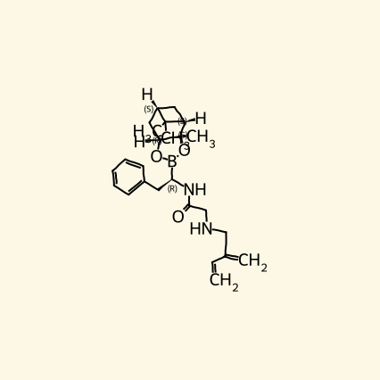 C=CC(=C)CNCC(=O)N[C@@H](Cc1ccccc1)B1O[C@@H]2C[C@@H]3C[C@@H](C3(C)C)[C@]2(C)O1